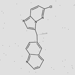 C[C@H](c1ccc2ncccc2c1)c1cnc2ccc(Cl)nn12